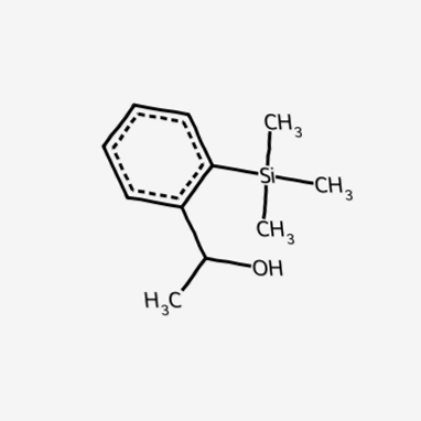 CC(O)c1ccccc1[Si](C)(C)C